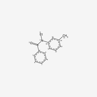 CCN(C(=O)c1ccccc1)c1cc[c]c(C)c1